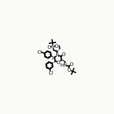 CC[C@@H](CS(=O)(=O)C(C)(C)C)N1C(=O)[C@@H](CNC(=O)OC(C)(C)C)O[C@H](c2cccc(Cl)c2)[C@H]1c1ccc(Cl)cc1